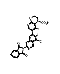 Cc1c(-c2cc3cc(N4C(=O)c5ccccc5C4=O)ncc3c(Cl)c2F)cnc2c1N(C(=O)O)CCO2